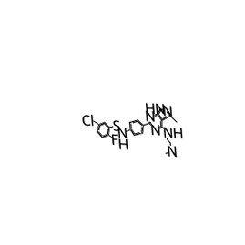 Cc1n[nH]c2nc(-c3ccc(NSc4cc(Cl)ccc4F)cc3)nc(NCCN(C)C)c12